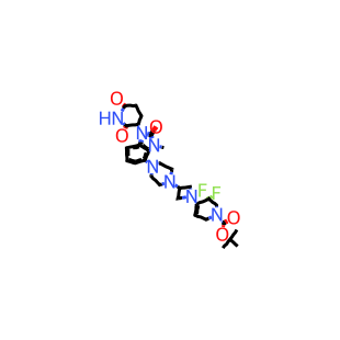 Cn1c(=O)n(C2CCC(=O)NC2=O)c2cccc(N3CCN(C4CN(C5=CCN(C(=O)OC(C)(C)C)CC5(F)F)C4)CC3)c21